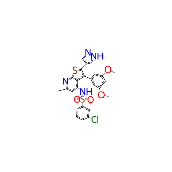 COc1cc(OC)cc(-c2c(-c3cn[nH]c3)sc3nc(C)cc(NS(=O)(=O)c4cccc(Cl)c4)c23)c1